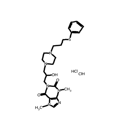 Cl.Cl.Cn1cnc2c1c(=O)n(CC(O)CN1CCN(CCCSc3ccccc3)CC1)c(=O)n2C